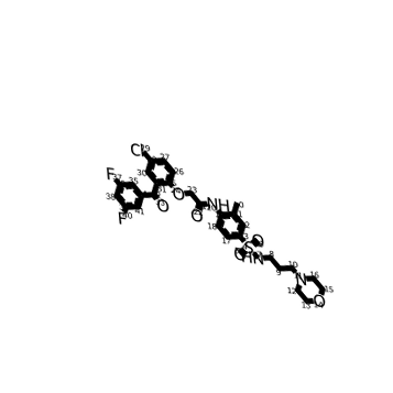 Cc1cc(S(=O)(=O)NCCCN2CCOCC2)ccc1NC(=O)COc1ccc(Cl)cc1C(=O)c1cc(F)cc(F)c1